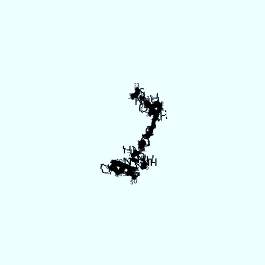 CC(=N)N1C(=N)[C@H](CC(=O)NCCOCCOCCNc2cccc(C(=O)Nc3nc(C)c(C)s3)c2C)N=C(c2ccc(Cl)cc2)c2c1sc(C)c2C